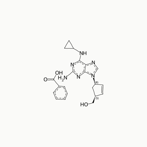 Nc1nc(NC2CC2)c2ncn([C@H]3C=C[C@@H](CO)C3)c2n1.O=C(O)c1ccccc1